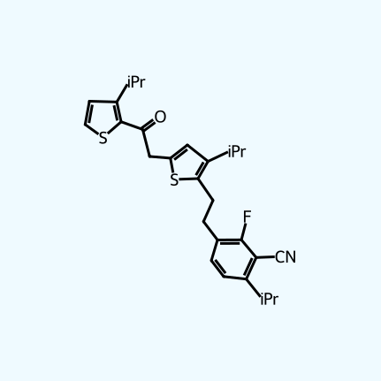 CC(C)c1cc(CC(=O)c2sccc2C(C)C)sc1CCc1ccc(C(C)C)c(C#N)c1F